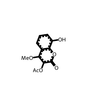 COc1c(OC(C)=O)c(=O)oc2c(O)cccc12